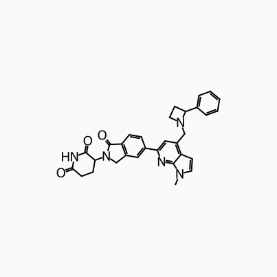 Cn1ccc2c(CN3CCC3c3ccccc3)cc(-c3ccc4c(c3)CN(C3CCC(=O)NC3=O)C4=O)nc21